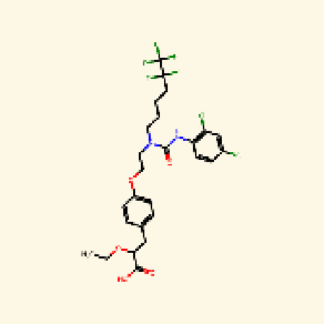 CCOC(Cc1ccc(OCCN(CCCCC(F)(F)C(F)(F)F)C(=O)Nc2ccc(Cl)cc2Cl)cc1)C(=O)O